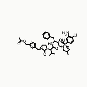 CC(=O)OCc1nc(CN2CCN(C(C(=O)N[C@@H](Cc3ccccc3)[C@@H](O)CN(CC(C)C)S(=O)(=O)c3ccc(Cl)c(N)c3)C(C)C)C2=O)cs1